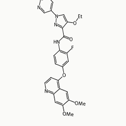 CCOc1cn(-c2cccnc2)nc1C(=O)Nc1ccc(Oc2ccnc3cc(OC)c(OC)cc23)cc1F